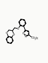 CCOC(=O)c1cc(-c2ccccc2OCC2COc3ccccc3O2)on1